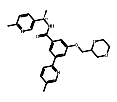 Cc1ccc(-c2cc(OCC3COCCO3)cc(C(=O)N[C@H](C)c3ccc(C)nc3)c2)nc1